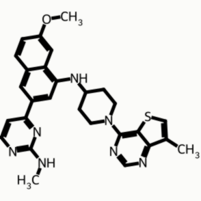 CNc1nccc(-c2cc(NC3CCN(c4ncnc5c(C)csc45)CC3)c3cc(OC)ccc3c2)n1